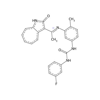 C/C(=N\c1cc(NC(=O)Nc2cccc(F)c2)ccc1C)c1c2cccccc-2[nH]c1=O